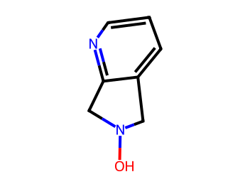 ON1Cc2cccnc2C1